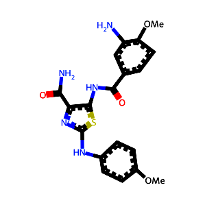 COc1ccc(Nc2nc(C(N)=O)c(NC(=O)c3ccc(OC)c(N)c3)s2)cc1